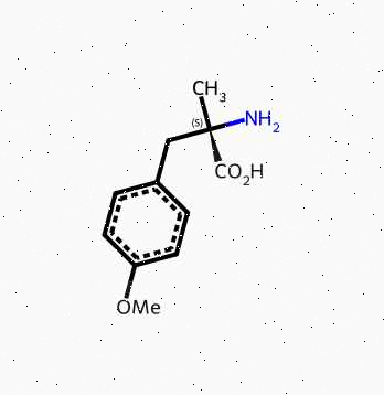 COc1ccc(C[C@](C)(N)C(=O)O)cc1